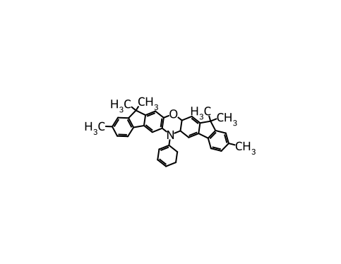 Cc1ccc2c(c1)C(C)(C)C1=CC3Oc4cc5c(cc4N(C4=CC=CCC4)C3C=C12)-c1ccc(C)cc1C5(C)C